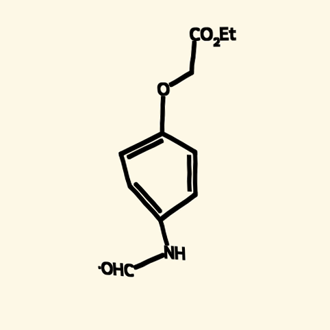 CCOC(=O)COc1ccc(N[C]=O)cc1